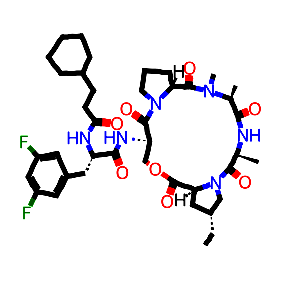 CC[C@@H]1C[C@H]2C(=O)OC[C@H](NC(=O)[C@H](Cc3cc(F)cc(F)c3)NC(=O)CCC3CCCCC3)C(=O)N3CCC[C@H]3C(=O)N(C)[C@@H](C)C(=O)N[C@@H](C)C(=O)N2C1